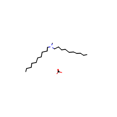 CCCCCCCCCCN(C)CCCCCCCCCC.O=C(O)O